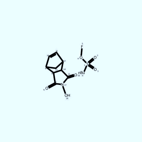 CCCCS(=O)(=O)OF.O=C1C2C3C=CC(C3)C2C(=O)N1O